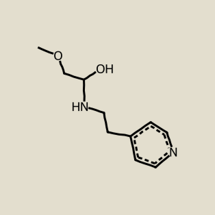 COCC(O)NCCc1ccncc1